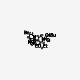 CCOC(=O)C(=O)N(c1ncc(Br)cc1[N+](=O)[O-])C1CCN(C(=O)OC(C)(C)C)CC1